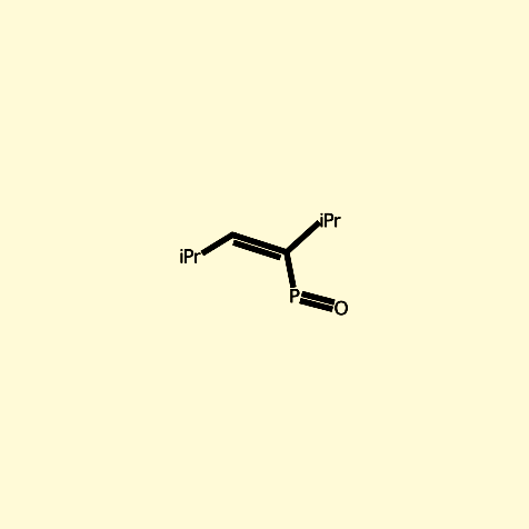 CC(C)C=C(P=O)C(C)C